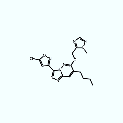 CCCCc1cc2nnc(-c3cc(Cl)on3)n2nc1OCc1ncnn1C